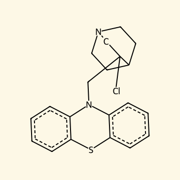 ClC1(CN2c3ccccc3Sc3ccccc32)CN2CCC1CC2